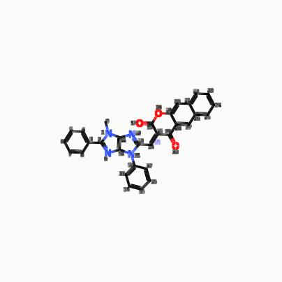 Cn1c(-c2ccccc2)nc2c1nc(/C=C1\C(=O)Oc3cc4ccccc4cc3C1=O)n2-c1ccccc1